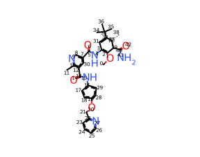 COC1=C(NC(=O)c2cnc(C)c(C(=O)Nc3ccc(OCc4ccccn4)cc3)c2)C=C(C(C)(C)C)[C@H](C)C1C(N)=O